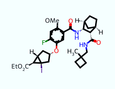 CCOC(=O)[C@H]1[C@@H]2C[C@H](Oc3cc(C(=O)N[C@@H]4[C@H]5CC[C@H](C5)[C@@H]4C(=O)NCC4(C)CCC4)c(OC)cc3F)C[C@@]21I